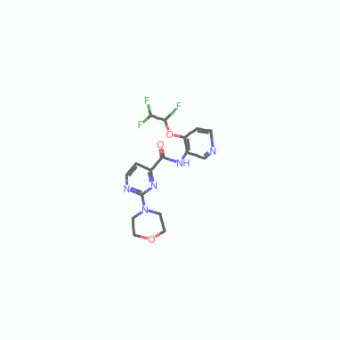 O=C(Nc1cnccc1OC(F)C(F)F)c1ccnc(N2CCOCC2)n1